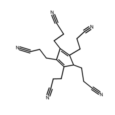 N#CCCC1=C(CCC#N)C(CCC#N)C(CCC#N)=C1CCC#N